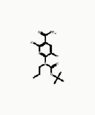 CCCN(C(=O)OC(C)(C)C)c1nc(Cl)c(C(N)=O)cc1F